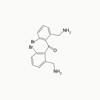 NCc1cccc(Br)c1C(=O)c1c(Br)cccc1CN